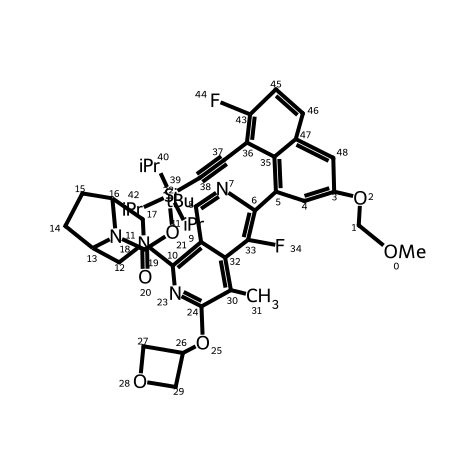 COCOc1cc(-c2ncc3c(N4CC5CCC(C4)N5C(=O)OC(C)(C)C)nc(OC4COC4)c(C)c3c2F)c2c(C#C[Si](C(C)C)(C(C)C)C(C)C)c(F)ccc2c1